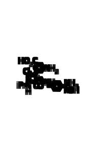 CC(C)Nc1nc(Cl)c(-c2cc(N)cc(C(=O)O)c2)n(CC(=O)NCc2ccc(/C(N)=N/O)cc2)c1=O